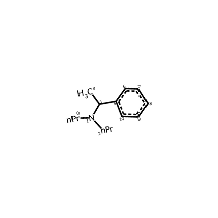 CCCN(CCC)C(C)c1ccccc1